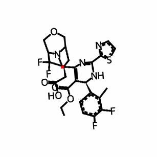 CCOC(=O)C1=C(CN2C3COCC2C(F)(F)[C@H](CC(=O)O)C3)N=C(c2nccs2)N[C@H]1c1ccc(F)c(F)c1C